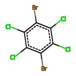 Clc1c(Cl)c(Br)c(Cl)c(Cl)c1Br